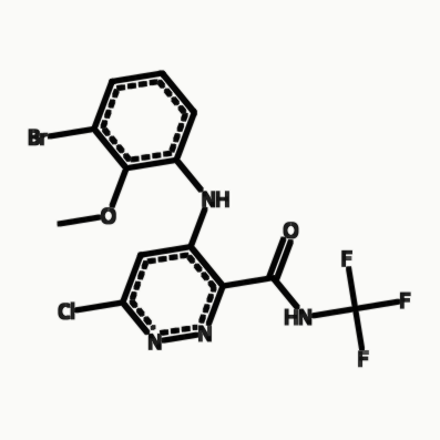 COc1c(Br)cccc1Nc1cc(Cl)nnc1C(=O)NC(F)(F)F